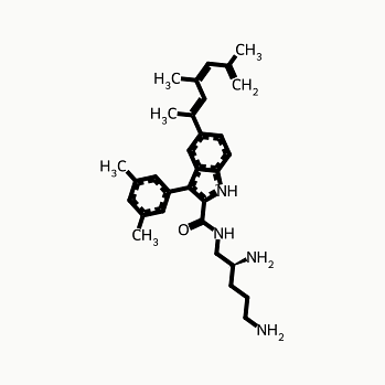 C=C(C)/C=C(C)\C=C(/C)c1ccc2[nH]c(C(=O)NC[C@@H](N)CCCN)c(-c3cc(C)cc(C)c3)c2c1